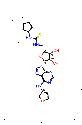 O[C@@H]1[C@H](O)[C@@H](CNC(=S)NC2CCCC2)O[C@H]1n1cnc2c(N[C@@H]3CCOC3)ncnc21